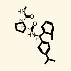 CNC(=O)[C@H]1CCC[C@H]1C(=O)N[C@H](c1ccc(C(C)C)cc1)c1ccccc1C